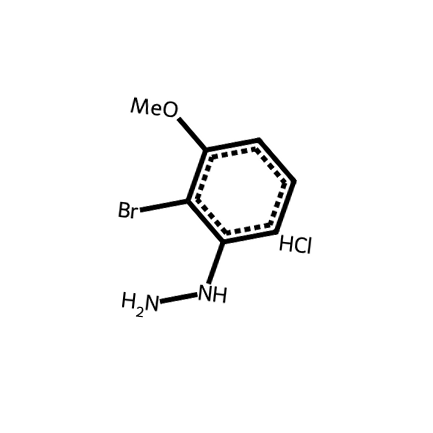 COc1cccc(NN)c1Br.Cl